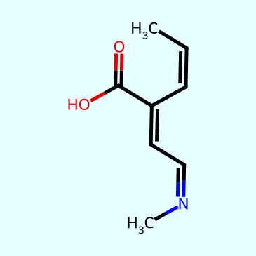 C\C=C/C(=C\C=N/C)C(=O)O